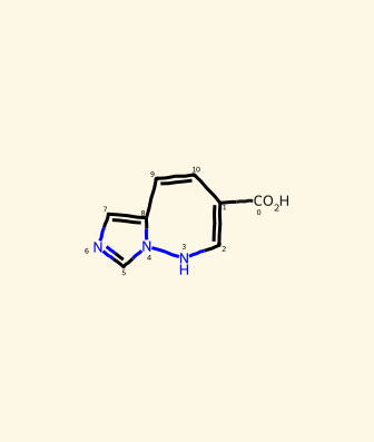 O=C(O)C1=CNn2cncc2C=C1